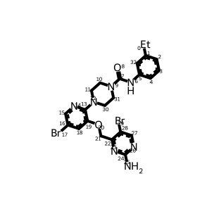 CCc1cccc(NC(=O)N2CCN(c3ncc(Br)cc3OCc3nc(N)ncc3Br)CC2)c1